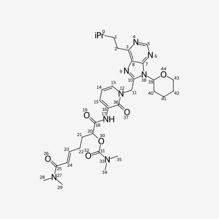 CC(C)CCc1ncnc2c1nc(Cn1cccc(NC(=O)C(CC/C=C/C(=O)N(C)C)OC(=O)N(C)C)c1=O)n2C1CCCCO1